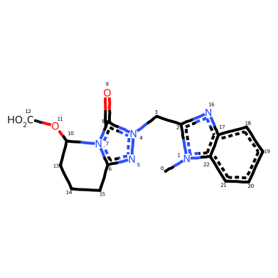 Cn1c(Cn2nc3n(c2=O)C(OC(=O)O)CCC3)nc2ccccc21